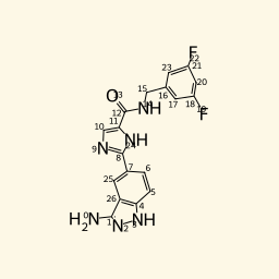 Nc1n[nH]c2ccc(-c3ncc(C(=O)NCc4cc(F)cc(F)c4)[nH]3)cc12